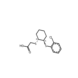 O=C(O)CS[C@@H]1CCCC[C@H]1Sc1ccccc1Cl